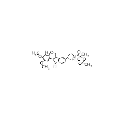 CCc1c(-c2ccc(OC)c(OC)c2)[nH]c2ccc(C3CCN(C(=O)C(C)(C)OC(C)=O)CC3)cc12